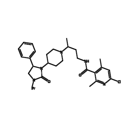 Cc1cc(Cl)nc(C)c1C(=O)NCCC(C)N1CCC(N2C(=O)N(C(C)C)CC2c2ccccc2)CC1